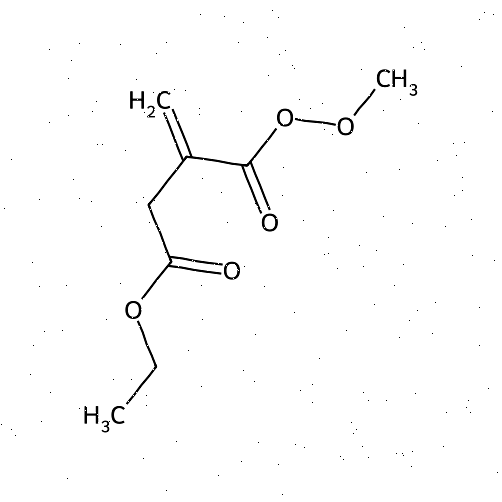 C=C(CC(=O)OCC)C(=O)OOC